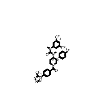 CN(C(=O)N(C)[C@@H]1CCN(C(=O)c2ccc(-n3nnnc3C(F)(F)F)cc2)C[C@H]1c1ccc(F)cc1)c1cc(C(F)(F)F)cc(C(F)(F)F)c1